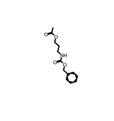 CC(=O)OCCCNC(=O)OCc1ccccc1